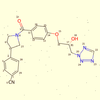 N#Cc1ccc(C2CCN(C(=O)c3ccc(OC[C@H](O)Cn4ncnn4)cc3)C2)cc1